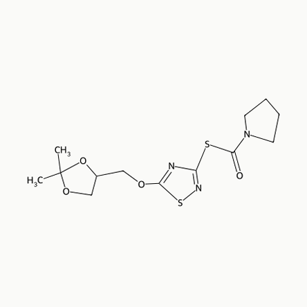 CC1(C)OCC(COc2nc(SC(=O)N3CCCC3)ns2)O1